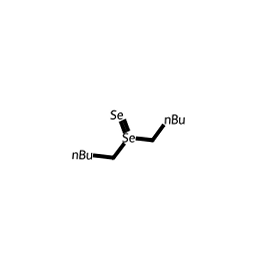 CCCCC[Se](=[Se])CCCCC